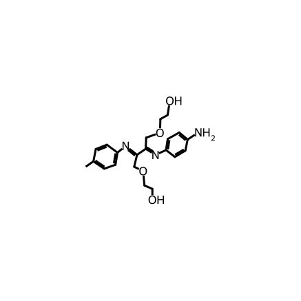 Cc1ccc(/N=C(COCCO)/C(COCCO)=N/c2ccc(N)cc2)cc1